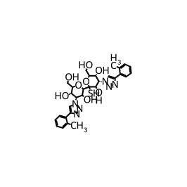 Cc1ccccc1-c1cn([C@@H]2C(O)C(C3(S)OC(CO)[C@H](O)[C@H](n4cc(-c5ccccc5C)nn4)C3O)OC(CO)[C@@H]2O)nn1